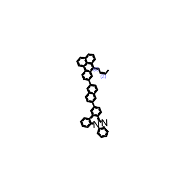 C/C=C\C=c1/c2cc(-c3ccc4cc(-c5ccc6c(c5)c5ccccc5n5c7ccccc7nc65)ccc4c3)ccc2c2cccc3cccc1c32